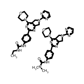 CCNC(=O)Nc1ccc(-c2nc3c(c(N4CCOCC4)n2)CN(c2ncccn2)C3)cc1.CN(C)C(=O)Nc1ccc(-c2nc3c(c(N4CCOCC4)n2)CN(c2ncccn2)C3)cc1